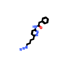 [N-]=[N+]=NCCCCc1ccc(NC(=O)Cc2ccccc2)nn1